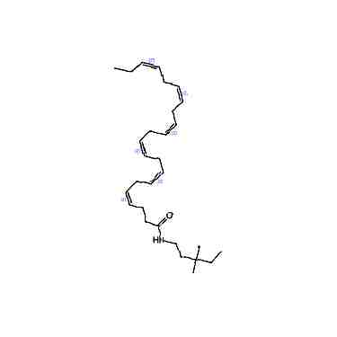 CC/C=C\C/C=C\C/C=C\C/C=C\C/C=C\C/C=C\CCC(=O)NCCC(C)(C)CC